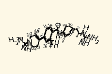 N=C(N)NCCc1ccc(NC(=O)c2ccc(C3=CCN(C(=N)N)CC3)cc2F)cc1